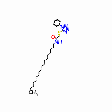 CCCCCCCCCCCCCCCCCCNC(=O)CSc1nnnn1-c1ccccc1